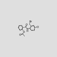 CC(=O)Oc1ccccc1C(=O)Nc1ccc(Cl)cc1CBr